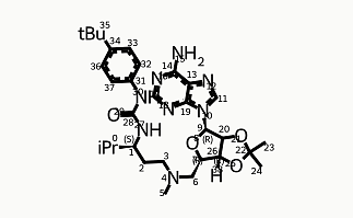 CC(C)[C@H](CCN(C)C[C@H]1O[C@@H](n2cnc3c(N)ncnc32)C2OC(C)(C)O[C@@H]21)NC(=O)Nc1ccc(C(C)(C)C)cc1